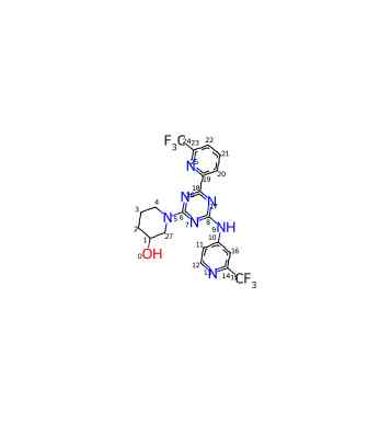 OC1CCCN(c2nc(Nc3ccnc(C(F)(F)F)c3)nc(-c3cccc(C(F)(F)F)n3)n2)C1